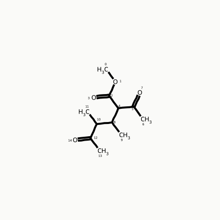 COC(=O)C(C(C)=O)C(C)C(C)C(C)=O